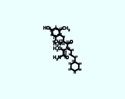 Cc1cc(O)cc(C)c1C[C@H](N)C(=O)N(CCCC1CCCCC1)[C@H](C)C(N)=O